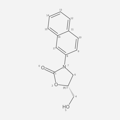 O=C1O[C@@H](CO)CN1c1ccc2ccccc2c1